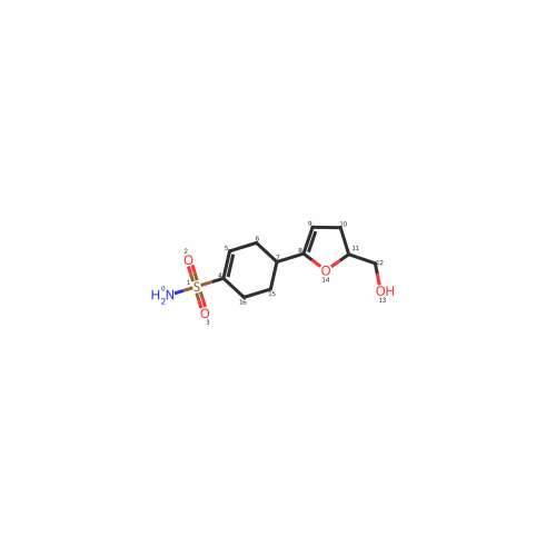 NS(=O)(=O)C1=CCC(C2=CCC(CO)O2)CC1